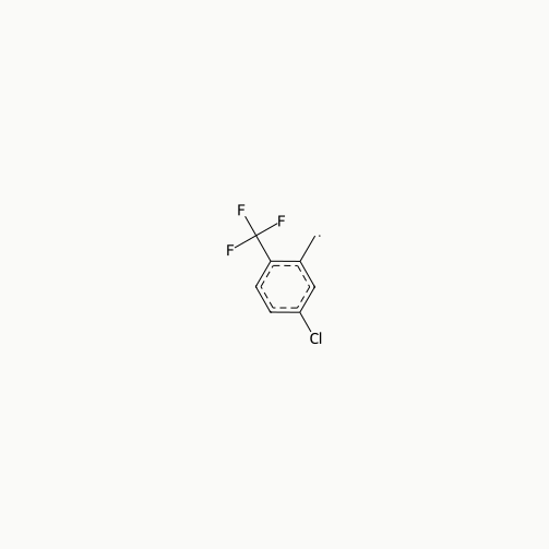 [CH2]c1cc(Cl)ccc1C(F)(F)F